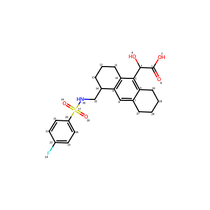 O=C(O)C(O)c1c2c(cc3c1CCCC3CNS(=O)(=O)c1ccc(F)cc1)CCCC2